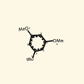 COc1cc(OC)cc(C(C)(C)C)c1